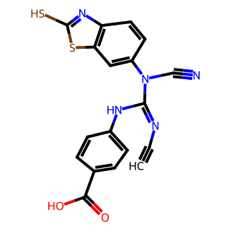 C#C/N=C(\Nc1ccc(C(=O)O)cc1)N(C#N)c1ccc2nc(S)sc2c1